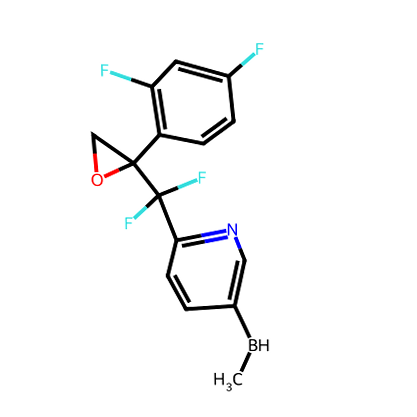 CBc1ccc(C(F)(F)C2(c3ccc(F)cc3F)CO2)nc1